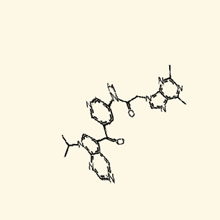 Cc1nc(C)c2ncn(CC(=O)Nc3cncc(C(=O)c4cn(C(C)C)c5ncncc45)c3)c2n1